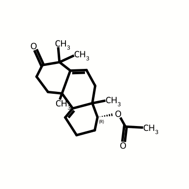 CC(=O)O[C@@H]1CCC=C2C3(C)CCC(=O)C(C)(C)C3=CCC21C